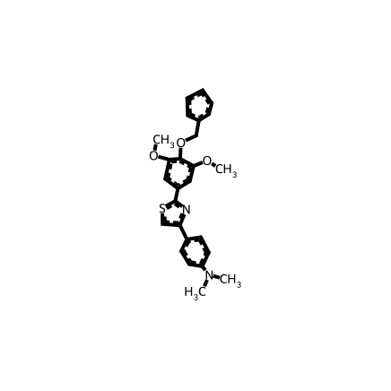 COc1cc(-c2nc(-c3ccc(N(C)C)cc3)cs2)cc(OC)c1OCc1ccccc1